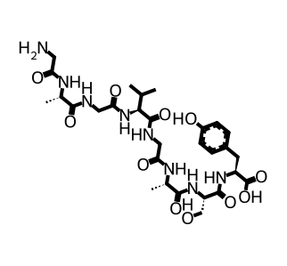 CC(C)[C@H](NC(=O)CNC(=O)[C@H](C)NC(=O)CN)C(=O)NCC(=O)N[C@@H](C)C(=O)N[C@@H](CO)C(=O)N[C@@H](Cc1ccc(O)cc1)C(=O)O